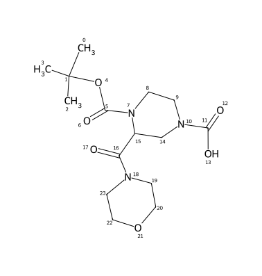 CC(C)(C)OC(=O)N1CCN(C(=O)O)CC1C(=O)N1CCOCC1